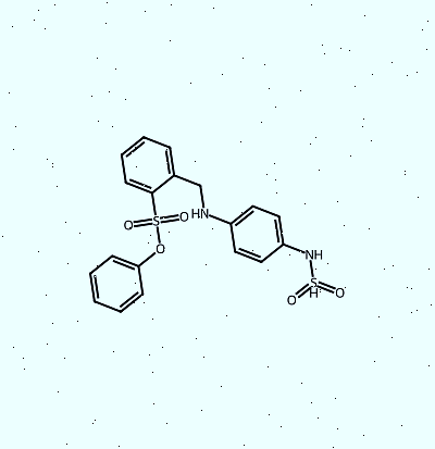 O=[SH](=O)Nc1ccc(NCc2ccccc2S(=O)(=O)Oc2ccccc2)cc1